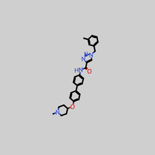 Cc1cccc(Cn2cc(C(=O)Nc3ccc(-c4ccc(OC5CCN(C)CC5)cc4)cc3)nn2)c1